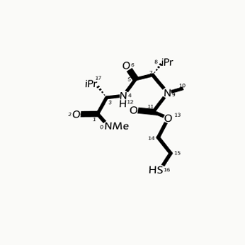 CNC(=O)[C@@H](NC(=O)[C@H](C(C)C)N(C)C(=O)OCCS)C(C)C